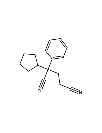 N#CCCC(C#N)(c1ccccc1)C1CCCC1